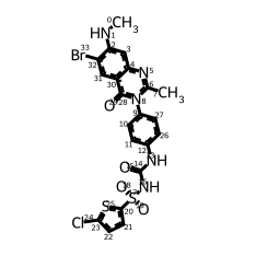 CNc1cc2nc(C)n(-c3ccc(NC(=O)NS(=O)(=O)c4ccc(Cl)s4)cc3)c(=O)c2cc1Br